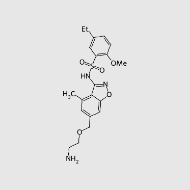 CCc1ccc(OC)c(S(=O)(=O)Nc2noc3cc(COCCN)cc(C)c23)c1